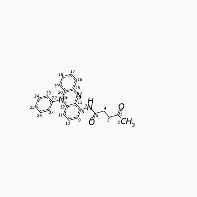 CC(=O)CCC(=O)Nc1cccc2c1nc1ccccc1[n+]2-c1ccccc1